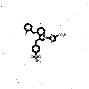 NS(=O)(=O)c1ccc(Cc2cn(-c3nc(C(=O)O)cs3)c3cccc(Cc4ccccc4F)c23)cc1